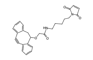 O=C(COC1Cc2ccccc2C#Cc2ccccc21)NCCCCCN1C(=O)C=CC1=O